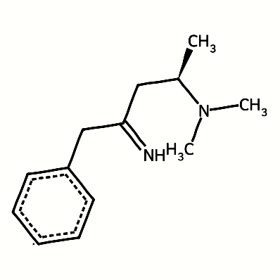 C[C@H](CC(=N)Cc1cc[c]cc1)N(C)C